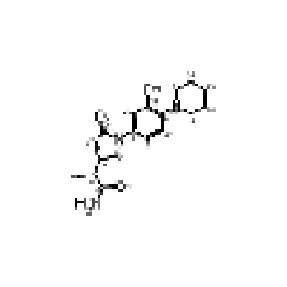 C[C@H](C(N)=O)C1CN(c2ccc(N3CCCCC3)c(F)c2)C(=O)O1